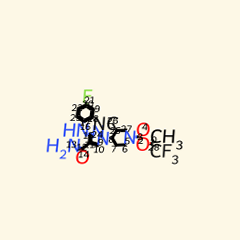 CC(OC(=O)N1CC[C@H](n2cc(C(N)=O)c(Nc3ccc(F)cc3)n2)[C@@H](C#N)C1)C(F)(F)F